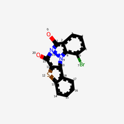 O=c1c2cccc(Br)c2n2c3c(sc4ccccc43)c(=O)n12